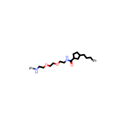 CC(C)CCCC1CCC(C(=O)NCCOCCOCCNC(C)C)C1